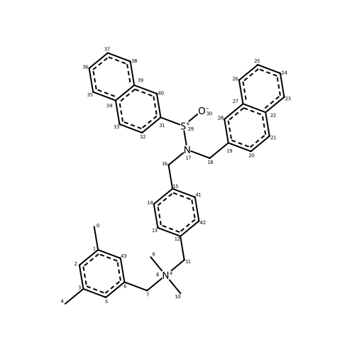 Cc1cc(C)cc(C[N+](C)(C)Cc2ccc(CN(Cc3ccc4ccccc4c3)[S+]([O-])c3ccc4ccccc4c3)cc2)c1